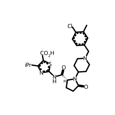 Cc1cc(CN2CCC(N3C(=O)CC[C@@H]3C(=O)Nc3nc(C(C)C)c(C(=O)O)s3)CC2)ccc1Cl